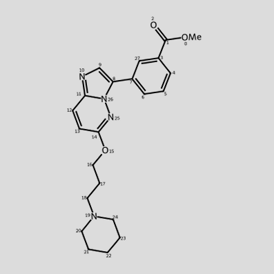 COC(=O)c1cccc(-c2cnc3ccc(OCCCN4CCCCC4)nn23)c1